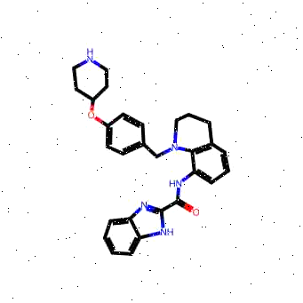 O=C(Nc1cccc2c1N(Cc1ccc(OC3CCNCC3)cc1)CCC2)c1nc2ccccc2[nH]1